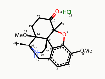 COc1ccc2c3c1OC1(C)C(=O)CC[C@@]4(OC)[C@@H](C2)NCC[C@]314.Cl